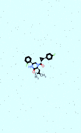 CC(C)C[C@H]1C(=O)N[C@@H](c2ccccc2F)CN1C(=O)[C@@H]1C[C@H]1c1ccc(F)cc1